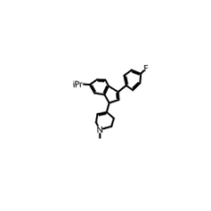 CC(C)c1ccc2c(c1)C(C1=CCN(C)CC1)C=C2c1ccc(F)cc1